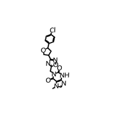 Cn1cnc2[nH]c(=O)n(Cc3nc(C4COC(c5ccc(Cl)cc5)C4)no3)c(=O)c21